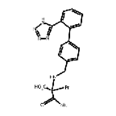 CCCCC(=O)[C@@](NCc1ccc(-c2ccccc2-c2nnn[nH]2)cc1)(C(=O)O)C(C)C